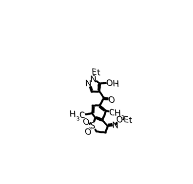 CCO/N=C1/CCS(=O)(=O)c2c(C)cc(C(=O)c3cnn(CC)c3O)c(C)c21